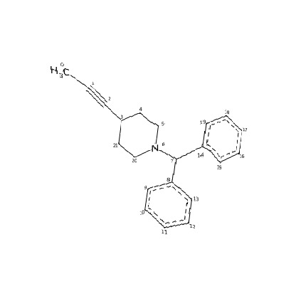 CC#CC1CCN(C(c2ccccc2)c2ccccc2)CC1